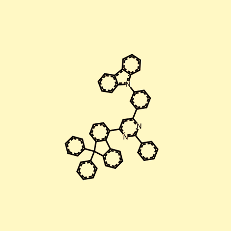 c1ccc(-c2nc(-c3cccc(-n4c5ccccc5c5ccccc54)c3)cc(-c3cccc4c3-c3ccccc3C4(c3ccccc3)c3ccccc3)n2)cc1